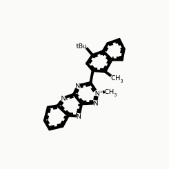 Cc1c(-c2nc3nc4ccccc4nc3n[n+]2C)cc(C(C)(C)C)c2ccccc12